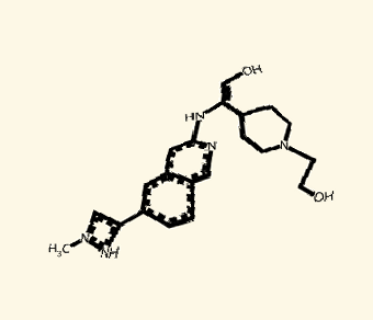 Cn1cc(-c2ccc3cnc(N/C(=C/O)C4CCN(CCO)CC4)cc3c2)[nH]1